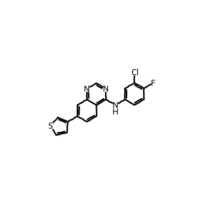 Fc1ccc(Nc2ncnc3cc(-c4ccsc4)ccc23)cc1Cl